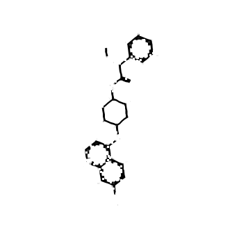 CO[C@@H](C(=O)NC1CCC(Nc2ccnc3cc(Cl)ccc23)CC1)c1ccccc1